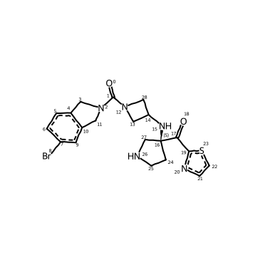 O=C(N1Cc2ccc(Br)cc2C1)N1CC(N[C@@]2(C(=O)c3nccs3)CCNC2)C1